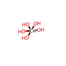 [OH][Co]([OH])([OH])([OH])[OH]